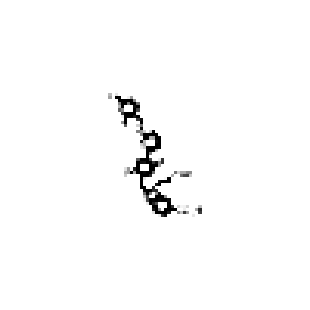 COCCn1c(Cc2cc(F)c(-c3cccc(OCc4ccc(Cl)nc4C)n3)cc2F)nc2ccc(C(=O)O)cc21